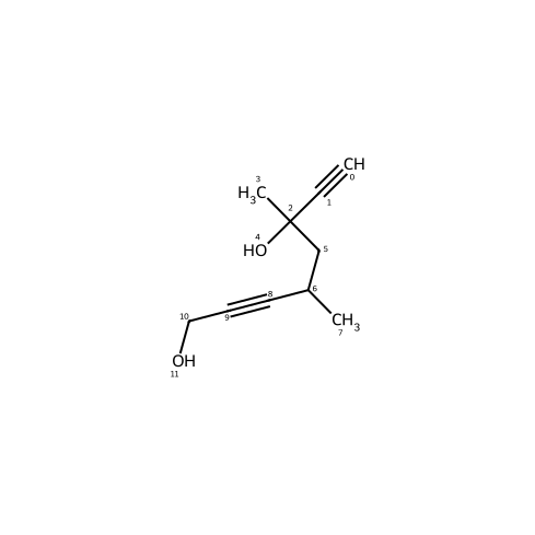 C#CC(C)(O)CC(C)C#CCO